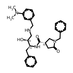 CN(C)c1cccc(CNC[C@H](O)[C@H](Cc2ccccc2)NC(=O)[C@H]2CC(=O)N(Cc3ccccc3)C2)c1